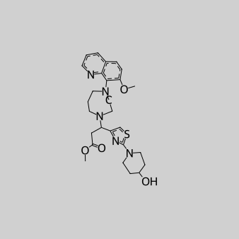 COC(=O)CC(c1csc(N2CCC(O)CC2)n1)N1CCCN(c2c(OC)ccc3cccnc23)CC1